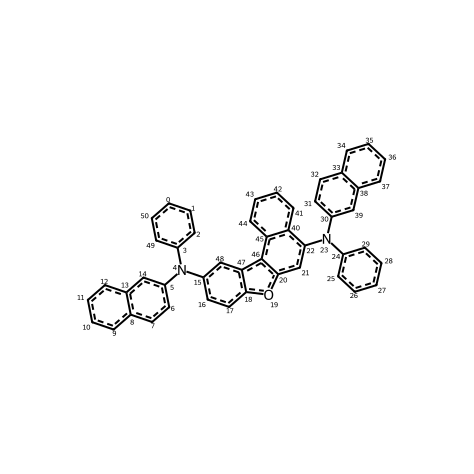 c1ccc(N(c2ccc3ccccc3c2)c2ccc3oc4cc(N(c5ccccc5)c5ccc6ccccc6c5)c5ccccc5c4c3c2)cc1